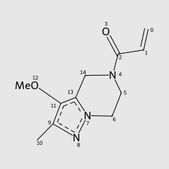 C=CC(=O)N1CCn2nc(C)c(OC)c2C1